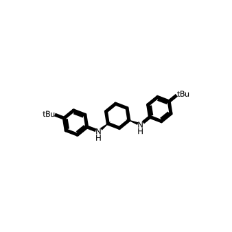 CC(C)(C)c1ccc(N[C@@H]2CCC[C@H](Nc3ccc(C(C)(C)C)cc3)C2)cc1